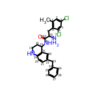 Cc1cc(Cl)cc(Cl)c1CC(N)C(=O)NC1CCNc2ccc(Cc3ccccc3)cc21